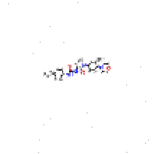 CC(C)[C@@H]1COCCN1c1ccc(N2CCC[C@@H](NC(=O)Nc3ccc(C(F)(F)F)cc3)C2=O)cc1